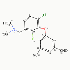 CC(C)(C)N(Cc1ccc(Cl)c(Oc2cc(C#N)cc(C=O)c2)c1F)C(=O)O